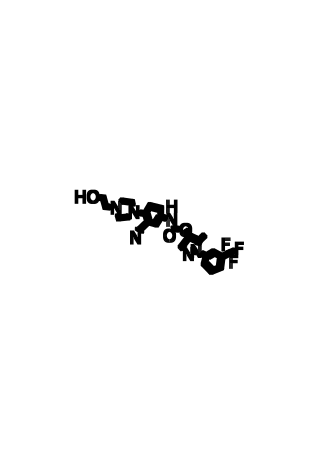 Cc1c(OC(=O)Nc2ccc(N3CCN(CCO)CC3)c(C#N)c2)cnn1-c1cccc(C(F)(F)F)c1